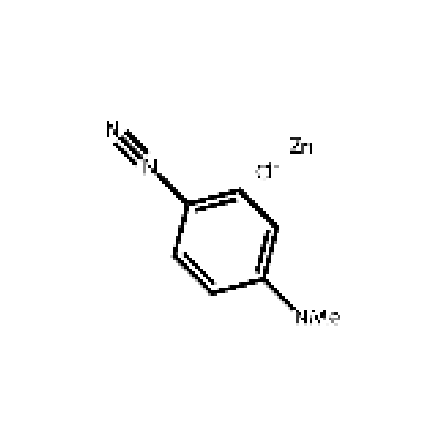 CNc1ccc([N+]#N)cc1.[Cl-].[Zn]